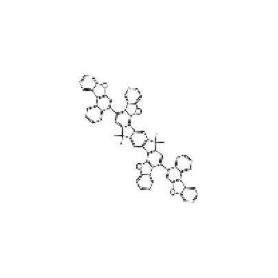 CC1(C)c2cc3c(cc2-c2c1cc(-c1cc4oc5ccccc5c4c4ccccc14)c1c2oc2ccccc21)C(C)(C)c1cc(-c2cc4oc5ccccc5c4c4ccccc24)c2c(oc4ccccc42)c1-3